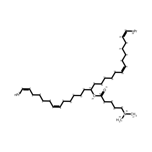 CCC/C=C\CCCC/C=C\CCCCCC(CCCCC/C=C\CCCC/C=C\CCC)OC(=O)CCCCN(C)C